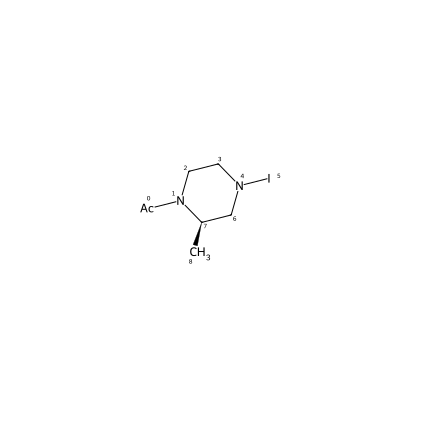 CC(=O)N1CCN(I)C[C@H]1C